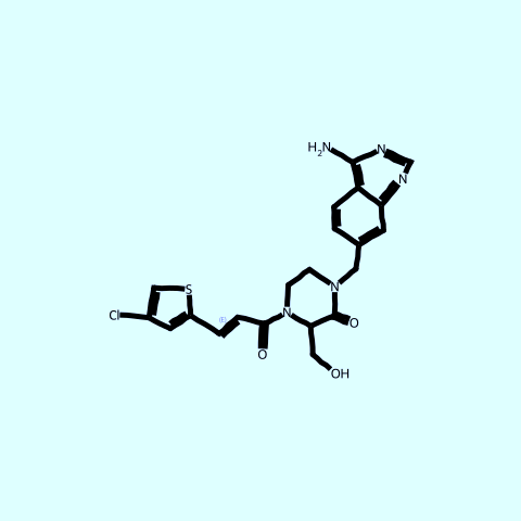 Nc1ncnc2cc(CN3CCN(C(=O)/C=C/c4cc(Cl)cs4)C(CO)C3=O)ccc12